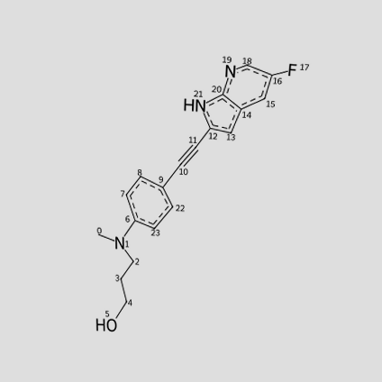 CN(CCCO)c1ccc(C#Cc2cc3cc(F)cnc3[nH]2)cc1